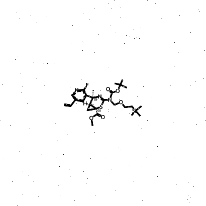 C=Cc1cnc(F)c([C@@]2(C)N=C(N(COCC[Si](C)(C)C)C(=O)OC(C)(C)C)S[C@@]3(C(=O)OC)C[C@H]32)c1